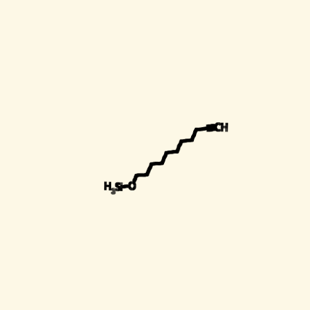 C#CCCCCCCCCCO[SiH3]